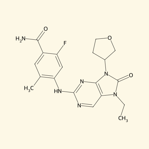 CCn1c(=O)n(C2CCOC2)c2nc(Nc3cc(F)c(C(N)=O)cc3C)ncc21